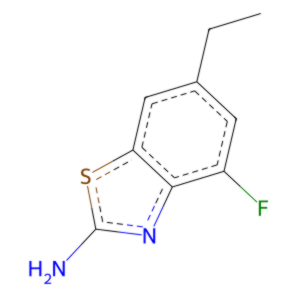 CCc1cc(F)c2nc(N)sc2c1